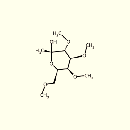 COC[C@H]1O[C@](C)(O)[C@H](OC)[C@@H](OC)[C@H]1OC